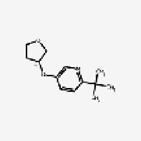 CC(C)(C)c1ccc(O[C@H]2CCOC2)cn1